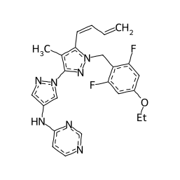 C=C/C=C\c1c(C)c(-n2cc(Nc3ccncn3)cn2)nn1Cc1c(F)cc(OCC)cc1F